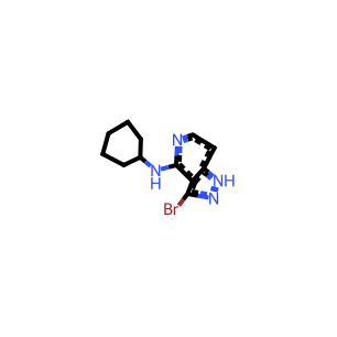 Brc1n[nH]c2ccnc(NC3CCCCC3)c12